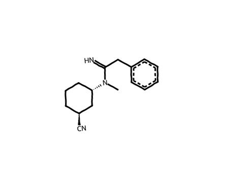 CN(C(=N)Cc1ccccc1)[C@H]1CCC[C@H](C#N)C1